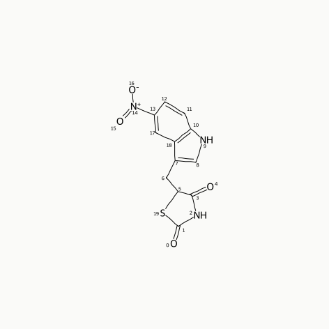 O=C1NC(=O)C(Cc2c[nH]c3ccc([N+](=O)[O-])cc23)S1